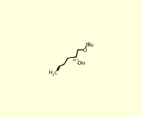 C=CCC[C@@H](O)COC(C)(C)C